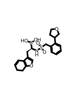 O=S(=O)(Cc1ccccc1C1CCOC1)N[C@@H](Cc1coc2c1C=CCC2)B(O)O